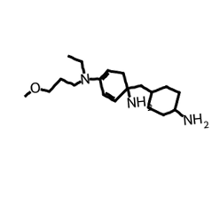 CCN(CCCOC)C1=CCC(N)(CC2CCC(N)CC2)C=C1